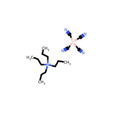 CCC[N+](CCC)(CCC)CCC.N#C[B-](C#N)(C#N)C#N